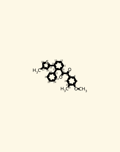 COc1ccc(C(=O)C(=O)c2cccc(-c3cc(C)cs3)c2-c2ccccc2)cc1C